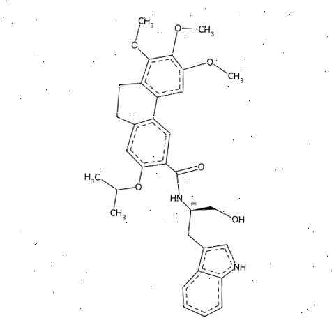 COc1cc2c(c(OC)c1OC)CCc1cc(OC(C)C)c(C(=O)N[C@@H](CO)Cc3c[nH]c4ccccc34)cc1-2